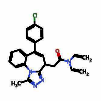 C=CN(C=C)C(=O)CC1C=C(c2ccc(Cl)cc2)c2ccccc2-n2c(C)nnc21